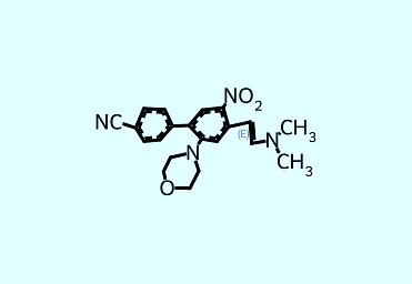 CN(C)/C=C/c1cc(N2CCOCC2)c(-c2ccc(C#N)cc2)cc1[N+](=O)[O-]